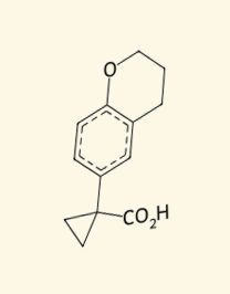 O=C(O)C1(c2ccc3c(c2)CCCO3)CC1